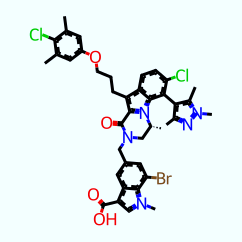 Cc1cc(OCCCc2c3n(c4c(-c5c(C)nn(C)c5C)c(Cl)ccc24)[C@H](C)CN(Cc2cc(Br)c4c(c2)c(C(=O)O)cn4C)C3=O)cc(C)c1Cl